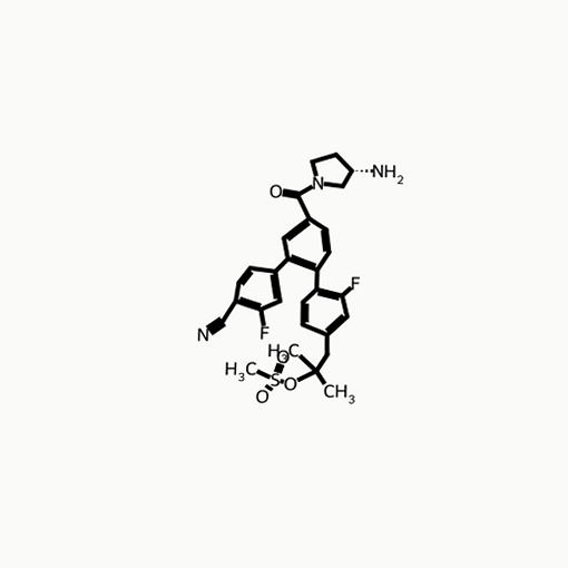 CC(C)(Cc1ccc(-c2ccc(C(=O)N3CC[C@H](N)C3)cc2-c2ccc(C#N)c(F)c2)c(F)c1)OS(C)(=O)=O